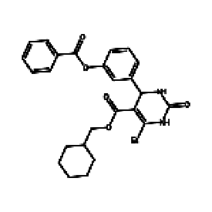 CCC1=C(C(=O)OCC2CCCCC2)C(c2cccc(OC(=O)c3ccccc3)c2)NC(=O)N1